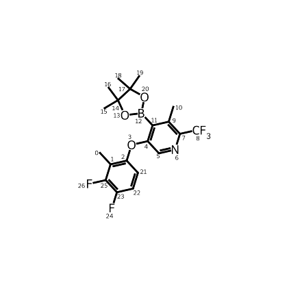 Cc1c(Oc2cnc(C(F)(F)F)c(C)c2B2OC(C)(C)C(C)(C)O2)ccc(F)c1F